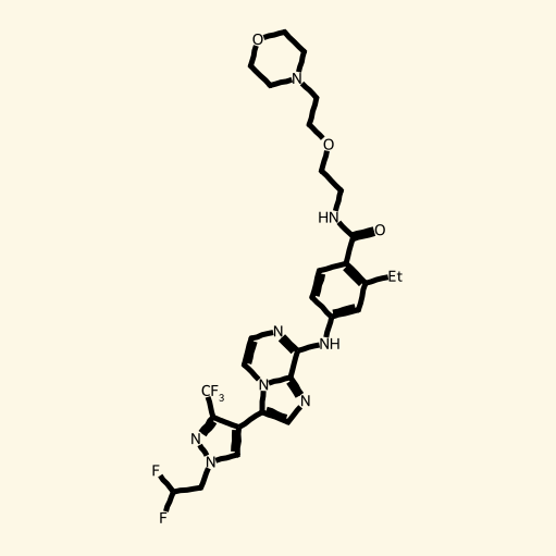 CCc1cc(Nc2nccn3c(-c4cn(CC(F)F)nc4C(F)(F)F)cnc23)ccc1C(=O)NCCOCCN1CCOCC1